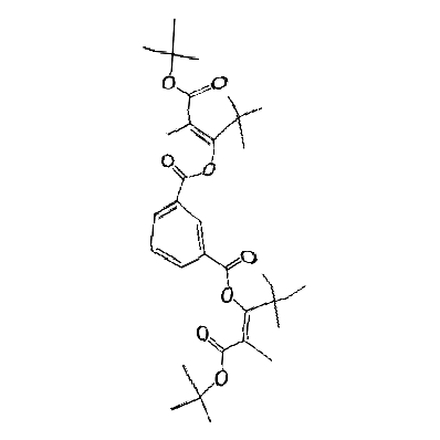 CC(C(=O)OC(C)(C)C)=C(OC(=O)c1cccc(C(=O)OC(=C(C)C(=O)OC(C)(C)C)C(C)(C)C)c1)C(C)(C)C